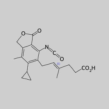 C/C(=C\Cc1c(N=C=O)c2c(c(C)c1C1CC1)COC2=O)CCC(=O)O